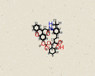 COC(=O)OC(C1CCCCC1)C(CCc1ccc(C(C)(C)C)c(NC(=O)CC2c3ccccc3Oc3ccccc32)c1)C(=O)O